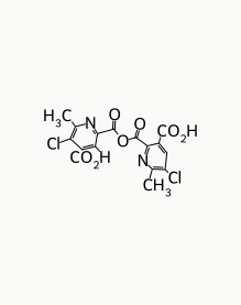 Cc1nc(C(=O)OC(=O)c2nc(C)c(Cl)cc2C(=O)O)c(C(=O)O)cc1Cl